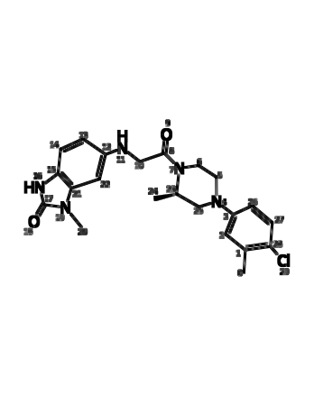 Cc1cc(N2CCN(C(=O)CNc3ccc4[nH]c(=O)n(C)c4c3)[C@H](C)C2)ccc1Cl